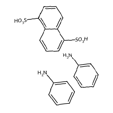 Nc1ccccc1.Nc1ccccc1.O=S(=O)(O)c1cccc2c(S(=O)(=O)O)cccc12